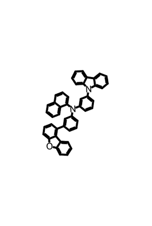 c1cc(-c2cccc3oc4ccccc4c23)cc(N(c2cccc(-n3c4ccccc4c4ccccc43)c2)c2cccc3ccccc23)c1